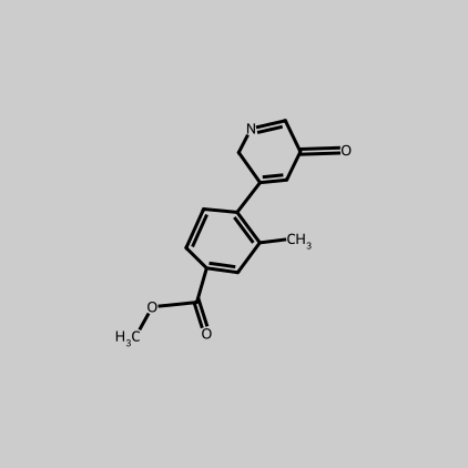 COC(=O)c1ccc(C2=CC(=O)C=NC2)c(C)c1